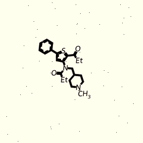 CCC(=O)c1sc(-c2ccccc2)cc1N(CC1CCN(C)CC1)C(=O)CC